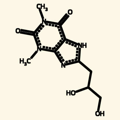 Cn1c(=O)c2[nH]c(CC(O)CO)nc2n(C)c1=O